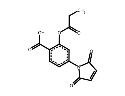 CCC(=O)Oc1cc(N2C(=O)C=CC2=O)ccc1C(=O)O